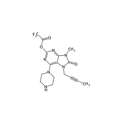 CC#CCn1c(=O)n(C)c2nc(OC(=O)C(F)(F)F)nc(N3CCNCC3)c21